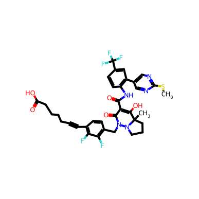 CSc1ncc(-c2cc(C(F)(F)F)ccc2NC(=O)C2=C(O)C3(C)CCCN3N(Cc3ccc(C#CCCCCC(=O)O)c(F)c3F)C2=O)cn1